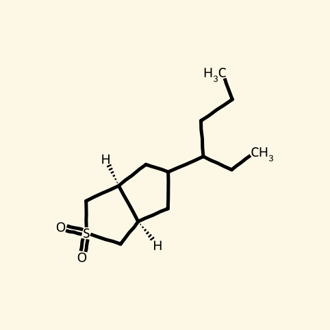 CCCC(CC)C1C[C@@H]2CS(=O)(=O)C[C@@H]2C1